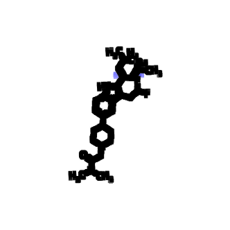 C=C(C)/C=C(\C=C(\C)C(C)CC)c1[nH]c2ccc(C3CCN(CC(=O)N(C)C)CC3)cc2c1CC(F)F